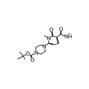 CNC(=O)c1ccc(N2CCN(C(=O)OC(C)(C)C)CC2)n(C)c1=O